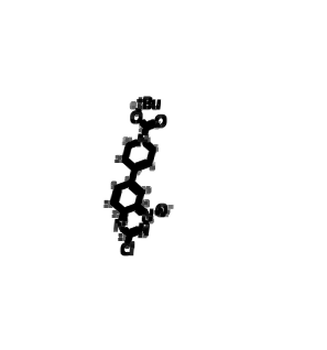 CC(C)(C)OC(=O)N1CC=C(c2ccc3nc(Cl)n[n+]([O-])c3c2)CC1